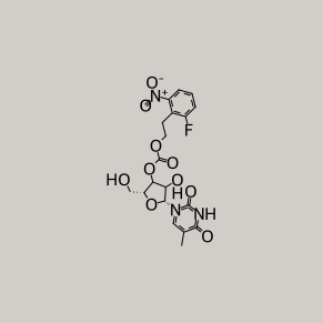 Cc1cn([C@@H]2O[C@H](CO)C(OC(=O)OCCc3c(F)cccc3[N+](=O)[O-])C2O)c(=O)[nH]c1=O